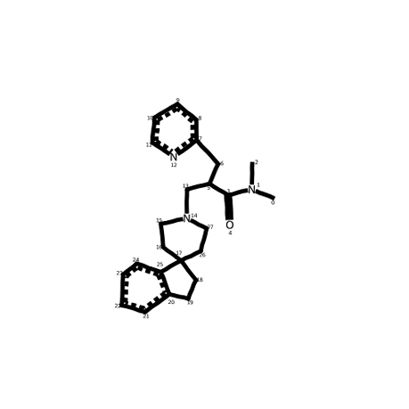 CN(C)C(=O)C(Cc1ccccn1)CN1CCC2(CCc3ccccc32)CC1